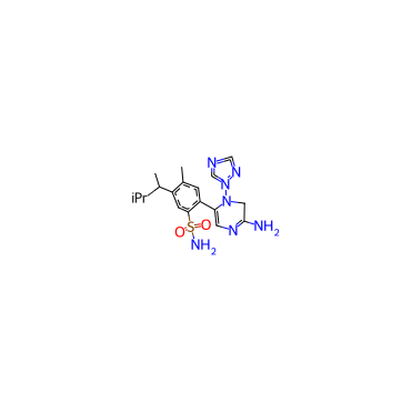 Cc1cc(C2=CN=C(N)CN2n2cncn2)c(S(N)(=O)=O)cc1C(C)C(C)C